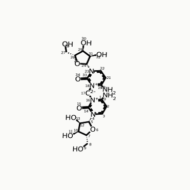 Nc1ccn([C@@H]2O[C@H](CO)[C@@H](O)[C@H]2O)c(=O)[n+]1[C-2][n+]1c(N)ccn([C@@H]2O[C@H](CO)[C@@H](O)[C@H]2O)c1=O